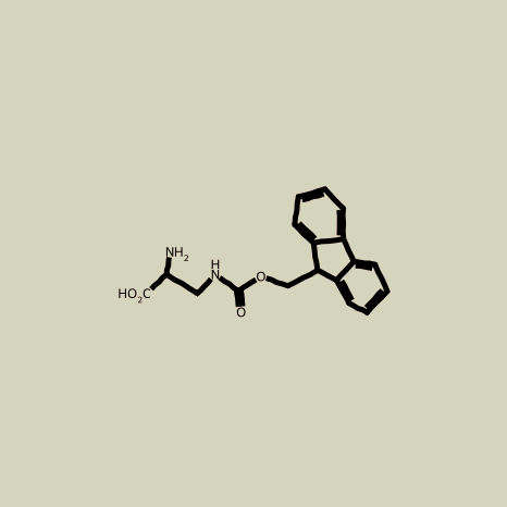 NC(CNC(=O)OCC1c2ccccc2-c2ccccc21)C(=O)O